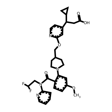 COc1ccc(C(=O)N(CC(F)F)c2ccccn2)c(N2CCC(COc3cc(C(CC(=O)O)C4CC4)ccn3)CC2)c1